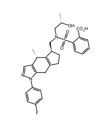 C[C@H](O)CN(C[C@H]1CCC2=C1[C@@H](C)c1cnn(-c3ccc(F)cc3)c1C2)S(=O)(=O)c1ccccc1C(=O)O